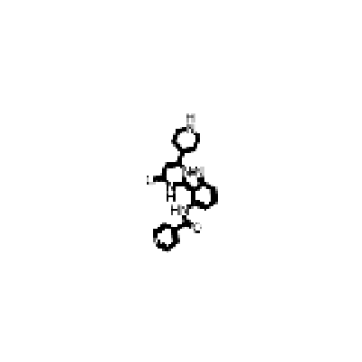 O=C(Nc1cccc2nn3c(C4CCNCC4)cc(=O)[nH]c3c12)c1ccncc1